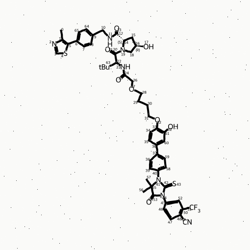 Cc1ncsc1-c1ccc(CNC(=O)[C@@H]2C[C@@H](O)CN2C(=O)C(NC(=O)COCCCCOc2ccc(-c3ccc(N4C(=S)N(c5ccc(C#N)c(C(F)(F)F)c5)C(=O)C4(C)C)cc3)cc2O)C(C)(C)C)cc1